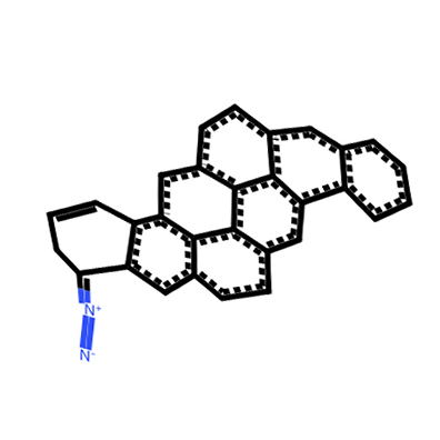 [N-]=[N+]=C1CC=Cc2c1cc1ccc3cc4c5ccccc5cc5ccc6cc2c1c3c6c54